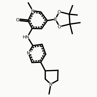 CN1CCC(c2ccc(Nc3cc(B4OC(C)(C)C(C)(C)O4)cn(C)c3=O)nc2)C1